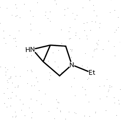 CCN1CC2NC2C1